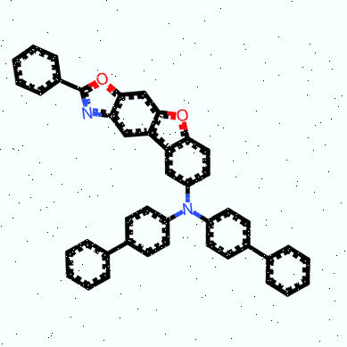 c1ccc(-c2ccc(N(c3ccc(-c4ccccc4)cc3)c3ccc4oc5cc6oc(-c7ccccc7)nc6cc5c4c3)cc2)cc1